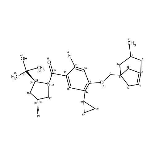 CC1CC2=CCC(COc3cc(F)c(C(=O)N4C[C@H](F)C[C@H]4C(O)(C(F)(F)F)C(F)(F)F)cc3C3CC3)(C2)C1